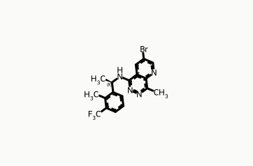 Cc1c([C@@H](C)Nc2nnc(C)c3ncc(Br)cc23)cccc1C(F)(F)F